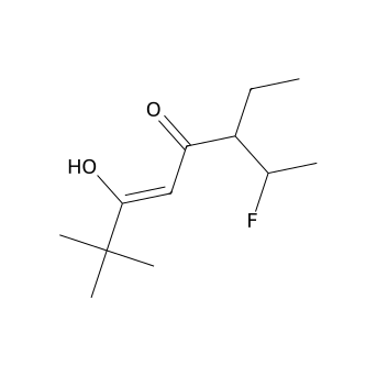 CCC(C(=O)/C=C(\O)C(C)(C)C)C(C)F